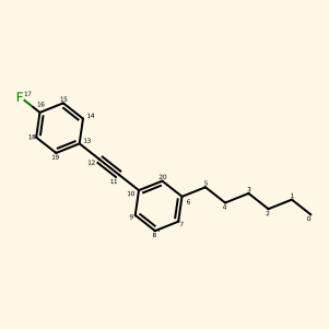 CCCCCCc1c[c]cc(C#Cc2ccc(F)cc2)c1